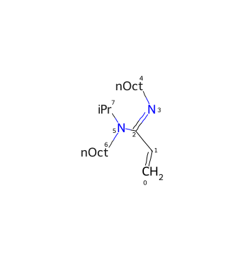 C=CC(=NCCCCCCCC)N(CCCCCCCC)C(C)C